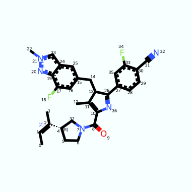 C/C=C(/C)[C@H]1CCN(C(=O)C2=C(C)C(Cc3cc(F)c4nn(C)cc4c3)C(c3ccc(C#N)c(F)c3)=N2)C1